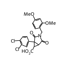 COc1ccc(CN2C(=O)C3C(C(=O)O)C3(c3ccc(Cl)c(Cl)c3)C2=O)c(OC)c1